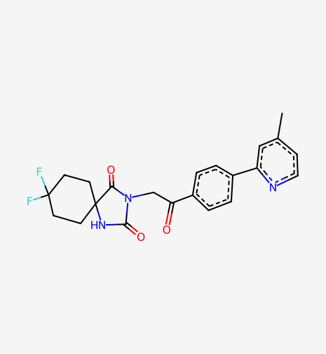 Cc1ccnc(-c2ccc(C(=O)CN3C(=O)NC4(CCC(F)(F)CC4)C3=O)cc2)c1